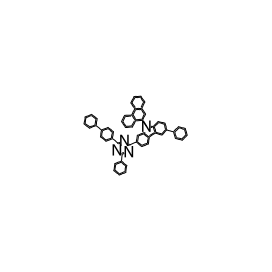 c1ccc(-c2ccc(-c3nc(-c4ccccc4)nc(-c4ccc5c6cc(-c7ccccc7)ccc6n(-c6cc7ccccc7c7ccccc67)c5c4)n3)cc2)cc1